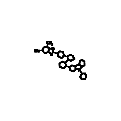 Cc1cc(C(C)(C)C)cc2nc(-c3ccc(-c4ccccc4-c4ccccc4-c4ccc5c(c4)c4ccccc4n5-c4ccccc4)cc3)oc12